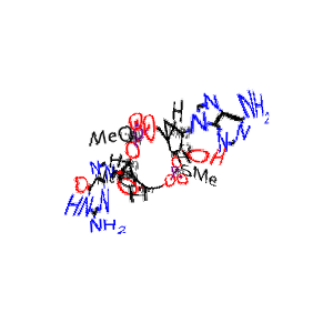 CO[C@H]1[C@H]2O[P@](=O)(OC)OCC34C[C@@H]3[C@@H](n3cnc5c(N)ncnc53)[C@H](O)[C@@H]4O[P@](=O)(SC)OC[C@H]1O[C@H]2n1cnc2c(=O)[nH]c(N)nc21